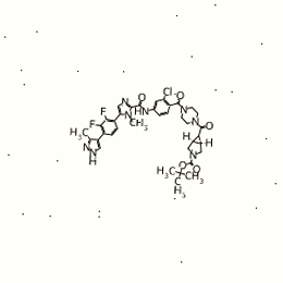 Cc1n[nH]cc1-c1ccc(-c2cnc(C(=O)Nc3ccc(C(=O)N4CCN(C(=O)C5[C@H]6CN(C(=O)OC(C)(C)C)C[C@@H]56)CC4)c(Cl)c3)n2C)c(F)c1F